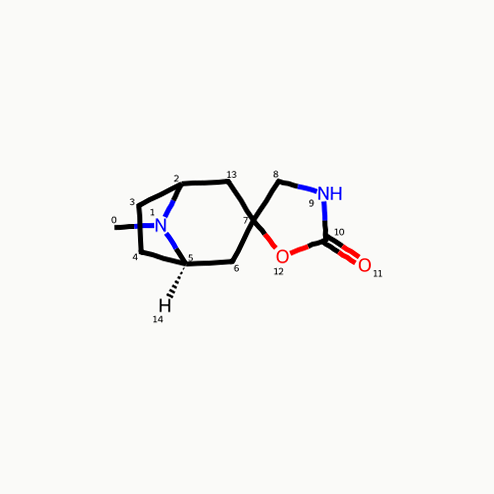 CN1C2CC[C@@H]1CC1(CNC(=O)O1)C2